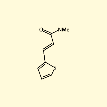 CNC(=O)C=Cc1cccs1